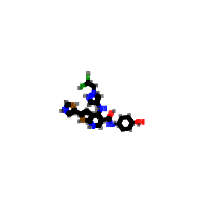 O=C(N[C@H]1CC[C@H](O)CC1)c1cnc2sc(-c3cncs3)cc2c1Nc1cnn(CC(F)F)c1